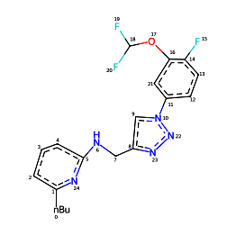 CCCCc1cccc(NCc2cn(-c3ccc(F)c(OC(F)F)c3)nn2)n1